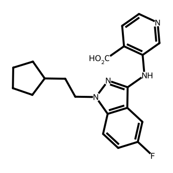 O=C(O)c1ccncc1Nc1nn(CCC2CCCC2)c2ccc(F)cc12